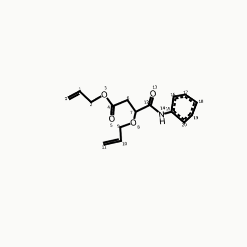 C=CCOC(=O)CC(OCC=C)C(=O)Nc1ccccc1